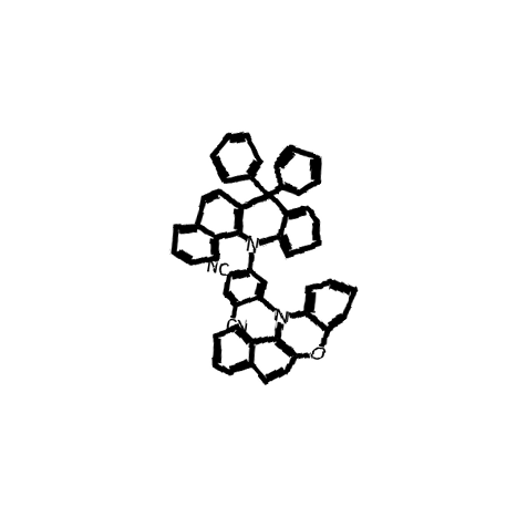 N#Cc1cc(C#N)c(N2c3ccccc3C(c3ccccc3)(c3ccccc3)c3ccc4ccccc4c32)cc1N1c2ccccc2Oc2ccc3ccccc3c21